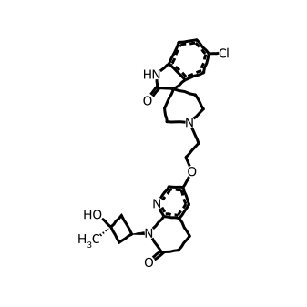 C[C@]1(O)C[C@@H](N2C(=O)CCc3cc(OCCN4CCC5(CC4)C(=O)Nc4ccc(Cl)cc45)cnc32)C1